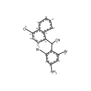 N#CC(c1c(Br)cc(N)cc1Br)c1nnc(Cl)c2ccccc12